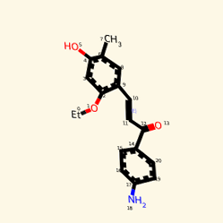 CCOc1cc(O)c(C)cc1/C=C/C(=O)c1ccc(N)cc1